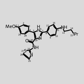 COc1ccc(-c2[nH]c(-c3ccc(NCCC(C)C)cc3)nc2C(=O)Nc2nccs2)cc1